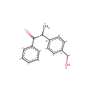 CC(C(=O)c1ccccc1)c1ccc(CO)cc1